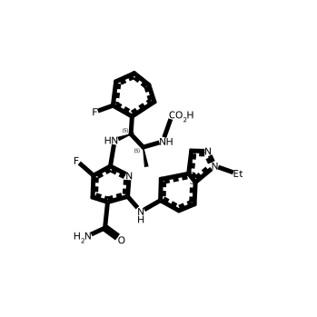 CCn1ncc2cc(Nc3nc(N[C@@H](c4ccccc4F)[C@H](C)NC(=O)O)c(F)cc3C(N)=O)ccc21